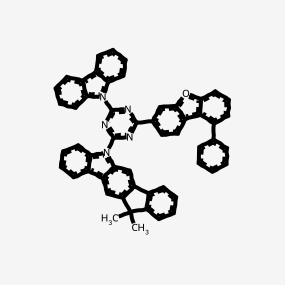 CC1(C)c2ccccc2-c2cc3c(cc21)c1ccccc1n3-c1nc(-c2ccc3c(c2)oc2cccc(-c4ccccc4)c23)nc(-n2c3ccccc3c3ccccc32)n1